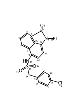 CCN1C(=O)c2cccc3c(NS(=O)(=O)Cc4ccc(Cl)cc4)ccc1c23